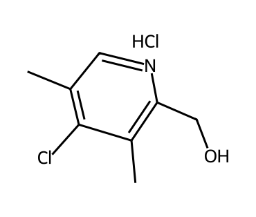 Cc1cnc(CO)c(C)c1Cl.Cl